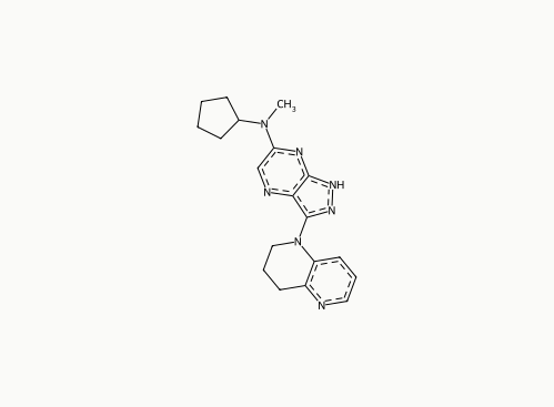 CN(c1cnc2c(N3CCCc4ncccc43)n[nH]c2n1)C1CCCC1